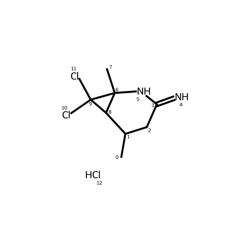 CC1CC(=N)NC2(C)C1C2(Cl)Cl.Cl